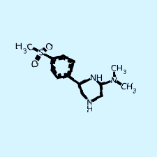 CN(C)C1CNCC(c2ccc(S(C)(=O)=O)cc2)N1